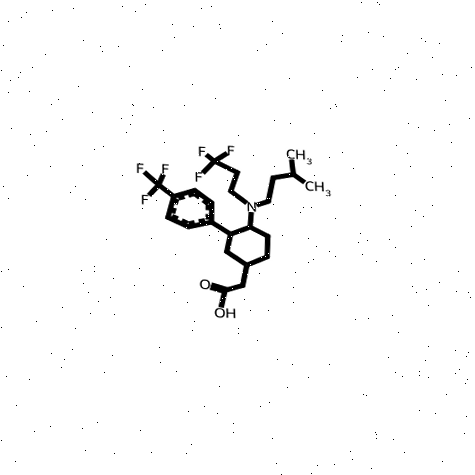 CC(C)CCN(CCC(F)(F)F)C1CCC(CC(=O)O)CC1c1ccc(C(F)(F)F)cc1